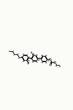 CCCCCc1ccc(-c2ccc(-c3ccc(OC(=O)OCC)cc3)cc2F)c(F)c1